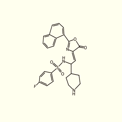 O=C1OC(c2cccc3ccccc23)=NC1=CC(NS(=O)(=O)c1ccc(F)cc1)C1CCNCC1